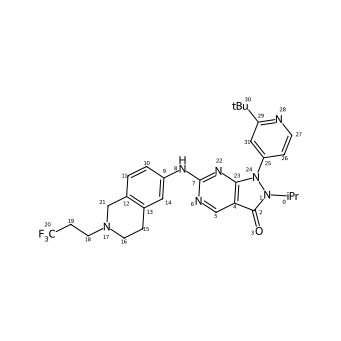 CC(C)n1c(=O)c2cnc(Nc3ccc4c(c3)CCN(CCC(F)(F)F)C4)nc2n1-c1ccnc(C(C)(C)C)c1